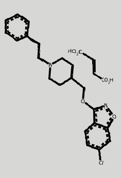 Clc1ccc2c(OCC3CCN(CCc4ccccc4)CC3)noc2c1.O=C(O)C=CC(=O)O